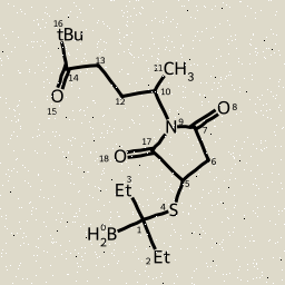 BC(CC)(CC)SC1CC(=O)N(C(C)CCC(=O)C(C)(C)C)C1=O